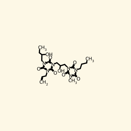 C=CCn1c(=O)n(CC(O)CC)c(=O)n(CC(O)Cn2c(=O)n(C)c(=O)n(CCCC)c2=O)c1=O